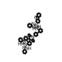 c1ccc2c(c1)-c1c(N(c3nc4ccccc4[nH]3)c3nc4ccccc4[nH]3)cccc1C21c2ccccc2N(c2ccc(-c3cccc4nc(N(c5ccc6c(c5)oc5ccccc56)c5nc6ccccc6[nH]5)[nH]c34)cc2)c2ccccc21